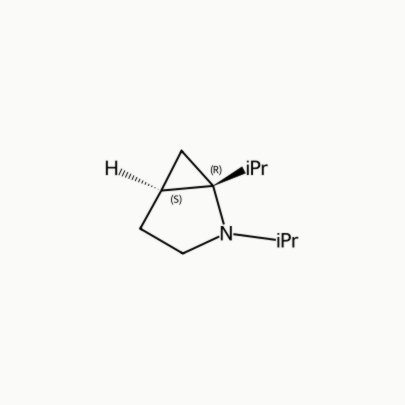 CC(C)N1CC[C@H]2C[C@@]21C(C)C